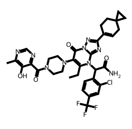 CCc1c(N2CCN(C(=O)c3ncnc(C)c3O)CC2)c(=O)n2nc(C3=CCC4(CC3)CC4)nc2n1C(C(N)=O)c1ccc(C(F)(F)F)cc1Cl